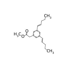 CCCC=Cc1cc(C=CCCC)cc(CC(=O)OC)c1